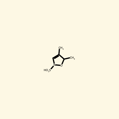 CC1=CN(S(=O)(=O)O)OC1C